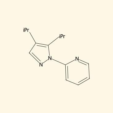 CC(C)c1cnn(-c2ccccn2)c1C(C)C